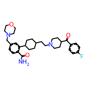 NC(=O)c1ccc(CN2CCOCC2)cc1C1CCC(CCN2CCC(C(=O)c3ccc(F)cc3)CC2)CC1